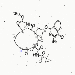 CC(C)n1nc(O[C@@H]2C[C@H]3C(=O)N[C@]4(C(=O)NS(=O)(=O)C5(C)CC5)C[C@H]4/C=C\CC[C@H](C)C[C@@H](C)[C@H](NC(=O)OC(C)(C)C)C(=O)N3C2)c2ccccc2c1=O